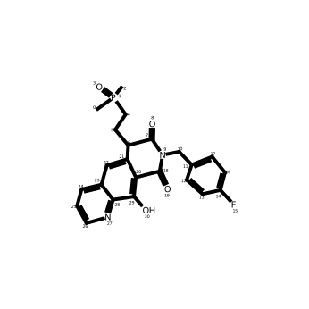 CP(C)(=O)CCC1C(=O)N(Cc2ccc(F)cc2)C(=O)c2c1cc1cccnc1c2O